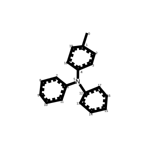 Cc1ccc(N(c2ccccc2)c2ccccc2)cc1